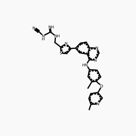 Cc1ccc(Oc2ccc(Nc3ncnc4ccc(-c5csc(CNC(=N)NC#N)n5)cc34)cc2C)cn1